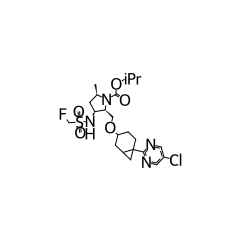 CC(C)OC(=O)N1[C@H](C)C[C@H](NS(=O)(=O)CF)[C@@H]1COC1CCC2(c3ncc(Cl)cn3)CC2C1